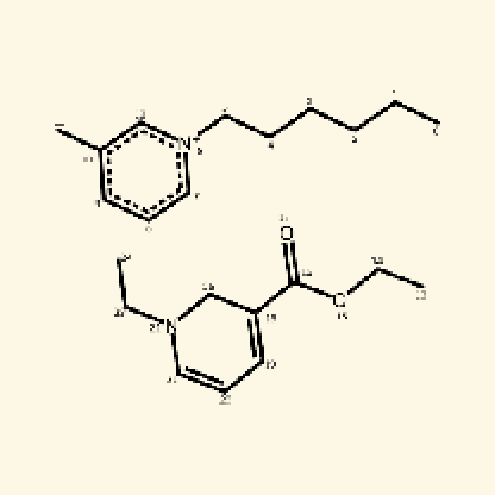 CCCCCC[n+]1cccc(C)c1.CCOC(=O)C1=CC=CN(CC)C1